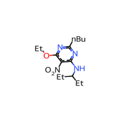 CCCCc1nc(NC(CC)CC)c([N+](=O)[O-])c(OCC)n1